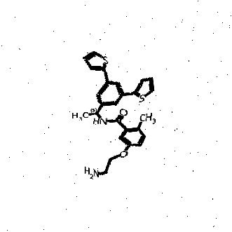 Cc1ccc(OCCN)cc1C(=O)N[C@@H](C)c1cc(-c2cccs2)cc(-c2cccs2)c1